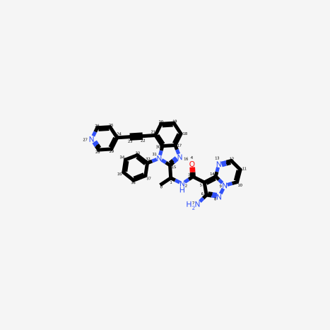 CC(NC(=O)c1c(N)nn2cccnc12)c1nc2cccc(C#Cc3ccncc3)c2n1-c1ccccc1